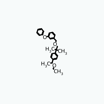 CCOC(C)c1ccc(C(C)(C)COCc2cccc(Oc3ccccc3)c2)cc1